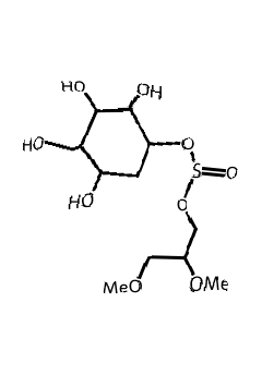 COCC(COS(=O)OC1CC(O)C(O)C(O)C1O)OC